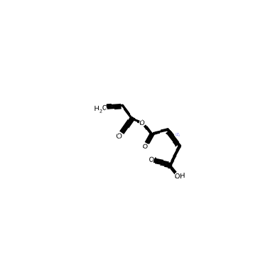 C=CC(=O)OC(=O)/C=C\C(=O)O